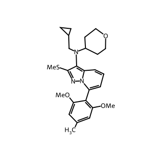 COc1cc(C)cc(OC)c1-c1cccc2c(N(CC3CC3)C3CCOCC3)c(SC)nn12